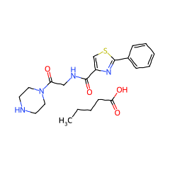 CCCCC(=O)O.O=C(NCC(=O)N1CCNCC1)c1csc(-c2ccccc2)n1